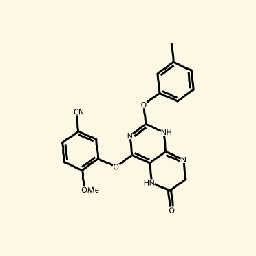 COc1ccc(C#N)cc1OC1=C2NC(=O)CN=C2NC(Oc2cccc(C)c2)=N1